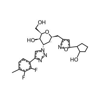 Cc1ccc(-c2cn([C@H]3[CH][C@H](Cc4cc(C5CCCC5O)on4)O[C@H](CO)[C@@H]3O)nn2)c(F)c1F